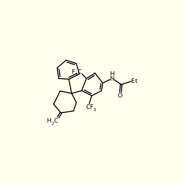 C=C1CCC(c2ccccc2)(c2c(C(F)(F)F)cc(NC(=O)CC)cc2C(F)(F)F)CC1